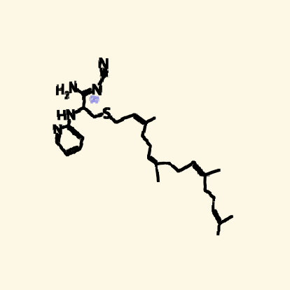 CC(C)=CCCC(C)=CCCC(C)=CCCC(C)=CCSCC(Nc1ccccn1)/C(N)=N/C#N